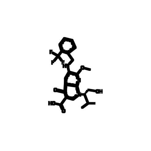 COc1nc2c(cc1NCc1ccccc1C(F)(F)F)c(=O)c(C(=O)O)cn2[C@H](CO)C(C)C